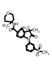 CC1(NC(=O)c2ccc3c(c2)C(C)(C)C(=O)N3c2cccc(S(C)(=O)=O)c2)CCOCC1